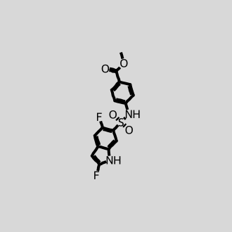 COC(=O)c1ccc(NS(=O)(=O)c2cc3[nH]c(F)cc3cc2F)cc1